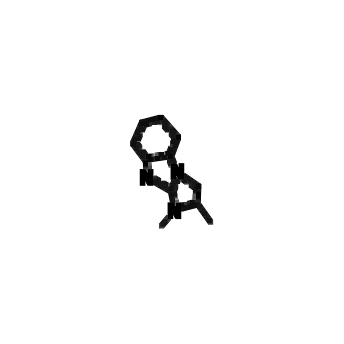 Cc1cn2c3ccccc3nc2n1C